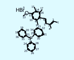 Br.CC=C(C)C=Cc1c(C)cc(OC)c(C)c1C.c1ccc(P(c2ccccc2)c2ccccc2)cc1